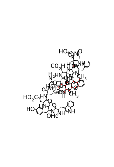 CCCC[C@@H](C(=O)N1C[C@H](O)C[C@@H]1C(=O)N[C@@H](CC(=O)O)C(=O)N[C@H](C(=O)N(C)C(Cc1ccccc1)C(=O)N[C@@H](CC(N)=O)C(=O)N1CC[C@@H](O)C1)C(C)C)N(C)C(=O)[C@H](Cc1ccccc1)N(C)C(=O)[C@H](Cc1ccc(F)c(F)c1)NC(=O)CSC[C@H](NC(=O)[C@H](CCC(=O)O)NC(=O)C(Cc1ccc(O)cc1)NC(=O)[C@H](Cc1c[nH]c2ccccc12)NC=O)C(=O)NCC(N)=O